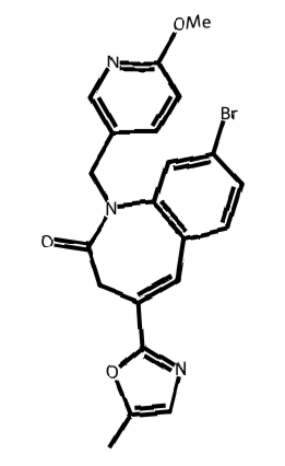 COc1ccc(CN2C(=O)CC(c3ncc(C)o3)=Cc3ccc(Br)cc32)cn1